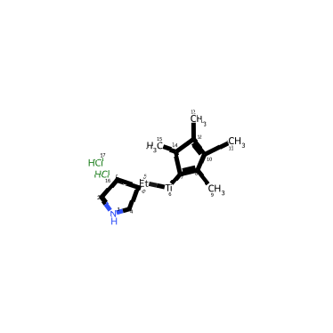 C1CCNC1.C[CH2][Ti][C]1=C(C)C(C)=C(C)C1C.Cl.Cl